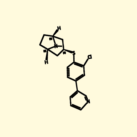 CN1[C@@H]2CC[C@H]1C[C@H](Sc1ccc(-c3cccnc3)cc1Cl)C2